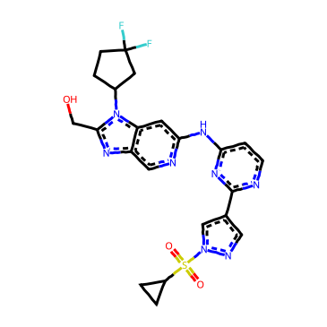 O=S(=O)(C1CC1)n1cc(-c2nccc(Nc3cc4c(cn3)nc(CO)n4C3CCC(F)(F)C3)n2)cn1